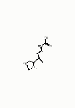 CC(CCNC(=O)O)C1COCO1